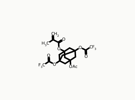 C=C(C)C(=O)OC12CC3(OC(C)=O)CC(OC(=O)C(F)(F)F)(C1)CC(OC(=O)C(F)(F)F)(C3)C2